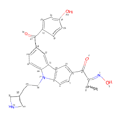 CCCCCCC/C(=N\O)C(=O)c1ccc2c(c1)c1cc(C(=O)c3ccc(O)cc3)ccc1n2CCC1CNC1